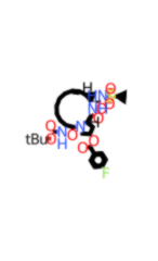 CC(C)(C)OC(=O)N[C@H]1CCCCC/C=C\[C@@H]2C[C@@]2(C(=O)NS(=O)(=O)C2CC2)NC(=O)[C@@H]2C[C@@H](OC(=O)c3ccc(F)cc3)CN2C1=O